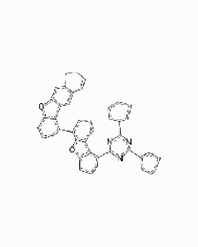 C1=Cc2cc3c(cc2CC1)oc1cccc(-c2cccc4c2oc2cccc(-c5nc(-c6ccccc6)nc(-c6ccccc6)n5)c24)c13